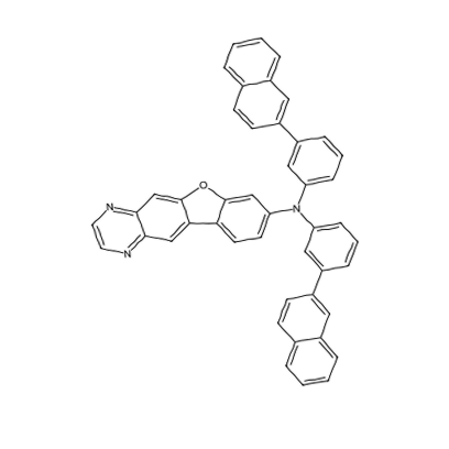 c1cc(-c2ccc3ccccc3c2)cc(N(c2cccc(-c3ccc4ccccc4c3)c2)c2ccc3c(c2)oc2cc4nccnc4cc23)c1